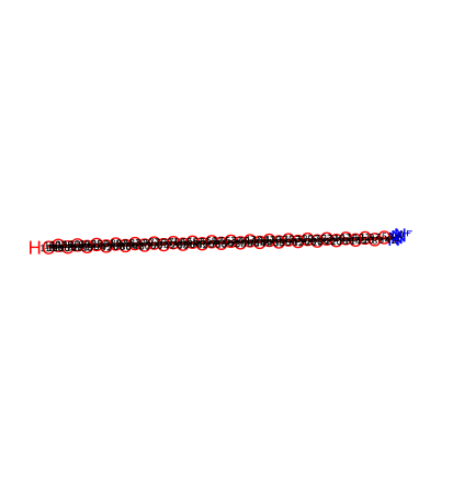 [N-]=[N+]=NCCOCCOCCOCCOCCOCCOCCOCCOCCOCCOCCOCCOCCOCCOCCOCCOCCOCCOCCOCCOCCOCCOCCOCCOCCOCCOCCOCCOCCOCCOCCOCCOCCOCCOCCOCCO